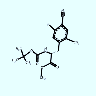 COC(=O)[C@@H](Cc1cc(F)c(C#N)cc1C)NC(=O)OC(C)(C)C